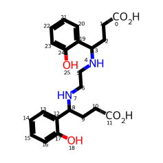 O=C(O)CCC(NCCNC(CCC(=O)O)c1ccccc1O)c1ccccc1O